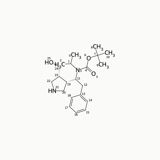 CC(C)N(C(=O)OC(C)(C)C)C(Cc1ccccc1)[C@@H]1CNC[C@@H]1CO